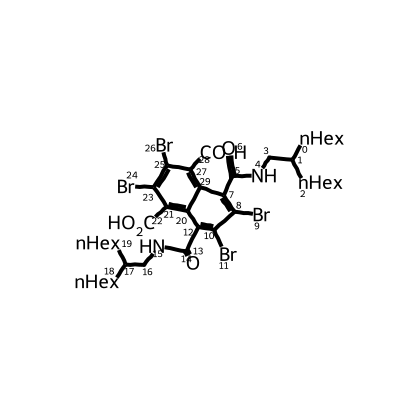 CCCCCCC(CCCCCC)CNC(=O)c1c(Br)c(Br)c(C(=O)NCC(CCCCCC)CCCCCC)c2c(C(=O)O)c(Br)c(Br)c(C(=O)O)c12